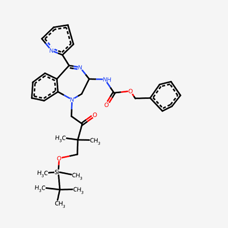 CC(C)(CO[Si](C)(C)C(C)(C)C)C(=O)CN1CC(NC(=O)OCc2ccccc2)N=C(c2ccccn2)c2ccccc21